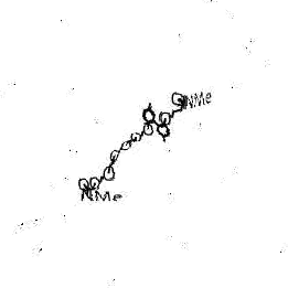 CNC(=O)CCCOc1ccc(C)cc1-c1cc(C)ccc1OCCOCCOCCOCCOCCOCC(=O)NC